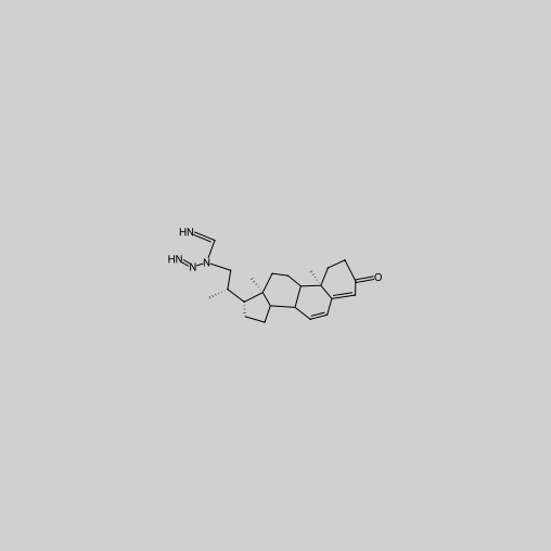 C[C@H](CN(C=N)N=N)[C@H]1CCC2C3C=CC4=CC(=O)CC[C@]4(C)C3CC[C@@]21C